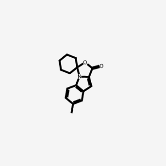 Cc1ccc2c(c1)cc1n2C2(CCCCC2)OC1=O